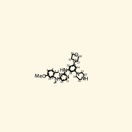 COc1ccc(C)c(N(C)c2ccnc(Nc3cc(N4CCNCC4)cc(N4CCOCC4)c3)n2)c1